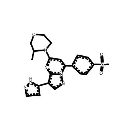 CC1COCCN1c1cc(-c2ccc(S(C)(=O)=O)cc2)n2ncc(-c3ccn[nH]3)c2n1